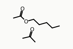 CC(C)=O.CCCCCOC(C)=O